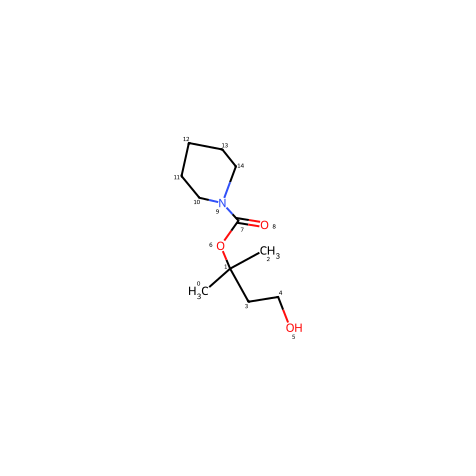 CC(C)(CCO)OC(=O)N1CCCCC1